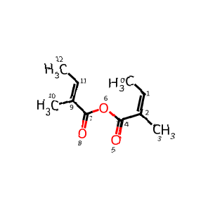 CC=C(C)C(=O)OC(=O)C(C)=CC